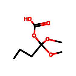 CCCC(OC)(OC)OC(=O)O